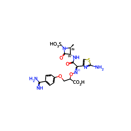 C[C@H]1[C@H](NC(=O)/C(=N\OC(COc2ccc(C(=N)N)cc2)C(=O)O)c2csc(N)n2)C(=O)N1S(=O)(=O)O